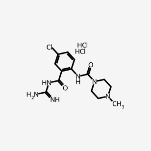 CN1CCN(C(=O)Nc2ccc(Cl)cc2C(=O)NC(=N)N)CC1.Cl.Cl